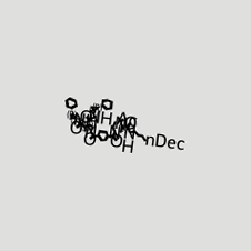 CCCCCCCCCCCCCCNC(=O)[C@@H]1CN(C(=O)c2ccc(C(=O)N3C[C@@H](C(=O)N[C@H]4C[C@@H]4c4ccccc4)[C@H](C(=O)N[C@H]4C[C@@H]4c4ccccc4)C3)cc2)CCN1C(C)=O